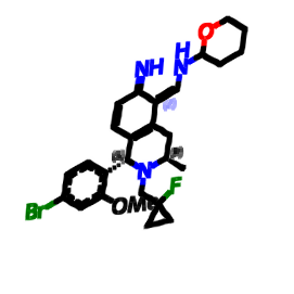 COc1cc(Br)ccc1[C@@H]1C2=C(C[C@@H](C)N1CC1(F)CC1)/C(=C/NC1CCCCO1)C(=N)C=C2